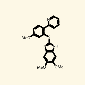 COc1ccc(-c2ccccn2)c(Sc2nc3cc(OC)c(OC)cc3[nH]2)c1